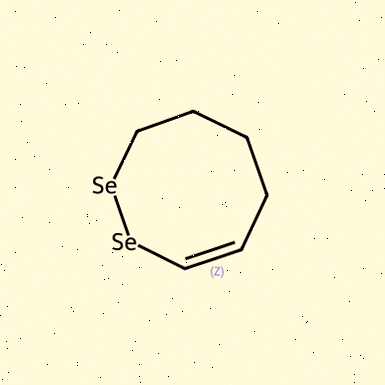 C1=C\[Se][Se]CCCC/1